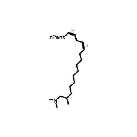 CCCCC/C=C\C/C=C\CCCCCCCCC(C)CN(C)C